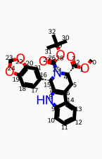 COC(=O)[C@@H]1Cc2c([nH]c3ccccc23)[C@H](c2ccc3c(c2)OCO3)N1C(=O)OC(C)(C)C